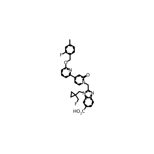 Cc1ccc(COc2cccc(-c3ccn(Cc4nc5ccc(C(=O)O)cc5n4CC4(CF)CC4)c(=O)c3)n2)c(F)c1